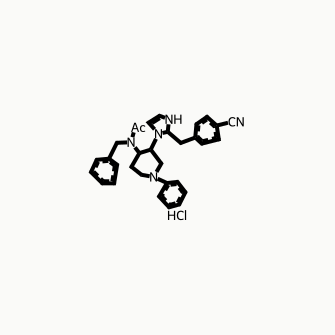 CC(=O)N(Cc1ccccc1)C1CCN(c2ccccc2)CC1N1C=CNC1Cc1ccc(C#N)cc1.Cl